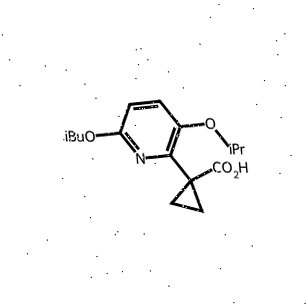 CC(C)COc1ccc(OC(C)C)c(C2(C(=O)O)CC2)n1